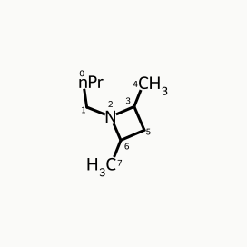 CCCCN1C(C)CC1C